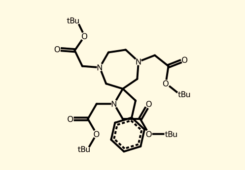 CC(C)(C)OC(=O)CN1CCN(CC(=O)OC(C)(C)C)CC(Cc2ccccc2)(N(CC(=O)OC(C)(C)C)CC(=O)OC(C)(C)C)C1